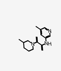 C=C(Nc1cncc(C)c1)C(=C)N1CCCC(C)C1